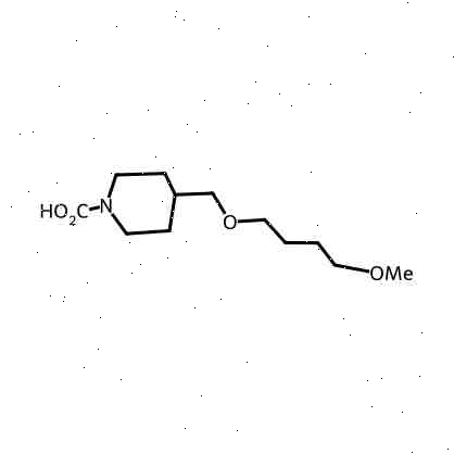 COCCCCOCC1CCN(C(=O)O)CC1